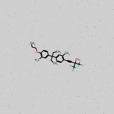 CCCOc1ccc(C(CC)(CC)c2ccc(C#CC(O)(C(F)(F)F)C(F)(F)F)c(C)c2)cc1C